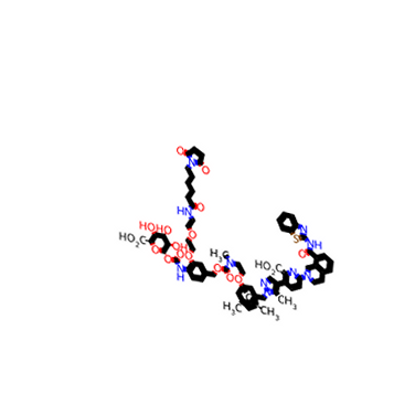 Cc1c(-c2ccc(N3CCc4cccc(C(=O)Nc5nc6ccccc6s5)c4C3)nc2C(=O)O)cnn1CC12CC3(C)CC(OCCN(C)C(=O)OCc4ccc(NC(=O)O[C@@H]5O[C@H](C(=O)O)C(O)[C@H](O)[C@H]5O)c(OCCOCCNC(=O)CCCCCN5C(=O)C=CC5=O)c4)(C1)C[C@]2(C)C3